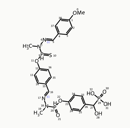 COc1ccc(/C=N/N(C)[PH](=S)Oc2ccc(/C=N/N(C)[PH](=O)Oc3ccc(C(O)P(=O)(O)O)cc3)cc2)cc1